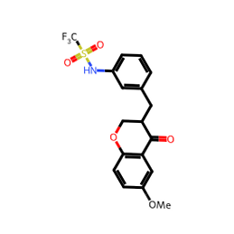 COc1ccc2c(c1)C(=O)C(Cc1cccc(NS(=O)(=O)C(F)(F)F)c1)CO2